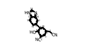 N#CCc1cc(C#N)c(O)c(-c2ccc3[nH]cnc3c2)c1